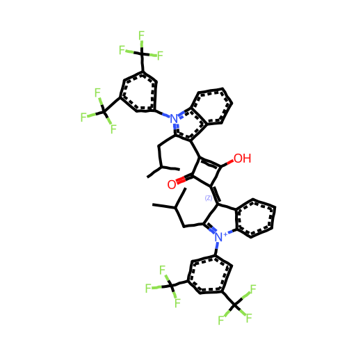 CC(C)CC1=[N+](c2cc(C(F)(F)F)cc(C(F)(F)F)c2)c2ccccc2/C1=C1/C(=O)C(c2c(CC(C)C)n(-c3cc(C(F)(F)F)cc(C(F)(F)F)c3)c3ccccc23)=C1O